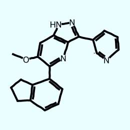 COc1cc2[nH]nc(-c3[c]nccc3)c2nc1-c1cccc2c1CCC2